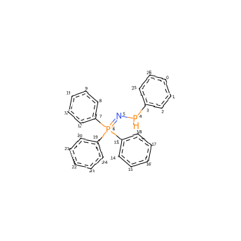 c1ccc(PN=P(c2ccccc2)(c2ccccc2)c2ccccc2)cc1